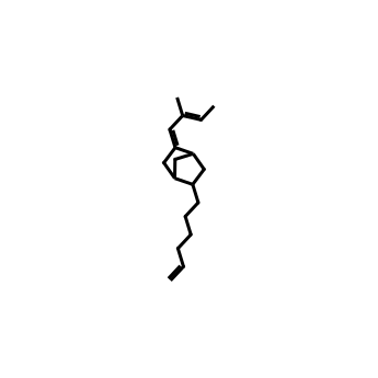 C=CCCCCC1CC2CC1CC2=CC(C)=CC